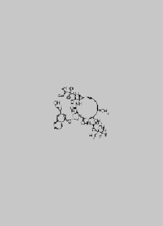 CCOc1cc2ccccc2c(O[C@@H]2C[C@H]3C(=O)N[C@]4(C(=O)NS(=O)(=O)C5(CF)CC5)CC4/C=C\CC[C@@H](C)C[C@@H](C)[C@H](NC(=O)OC(C)(C)C(F)(F)F)C(=O)N3C2)n1